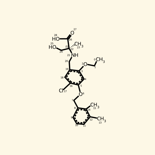 CCOc1cc(OCc2cccc(C)c2C)c(Cl)cc1CN[C@@](C)(CO)C(=O)O